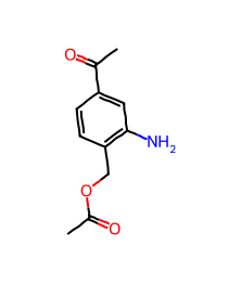 CC(=O)OCc1ccc(C(C)=O)cc1N